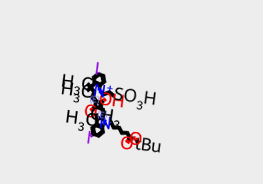 CC(C)(C)OC(=O)CCCCCN1/C(=C/C2=C(O)C(=C\C3=[N+](CCCS(=O)(=O)O)c4ccc(I)cc4C3(C)C)/C2=O)C(C)(C)c2cc(I)ccc21